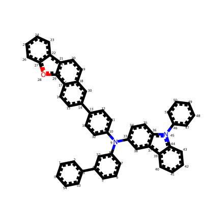 c1ccc(-c2cccc(N(c3ccc(-c4ccc5c(ccc6c7ccccc7oc56)c4)cc3)c3ccc4c(c3)c3ccccc3n4-c3ccccc3)c2)cc1